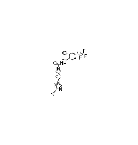 O=C(N1CC(c2ccc(OC(F)(F)F)cc2Cl)C1)N1CC2(CC(n3cnc(C4CC4)n3)C2)C1